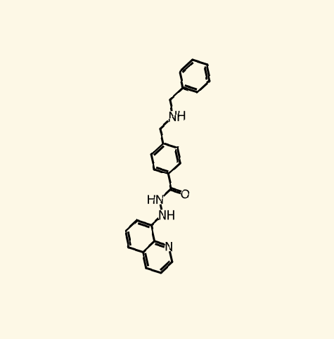 O=C(NNc1cccc2cccnc12)c1ccc(CNCc2ccccc2)cc1